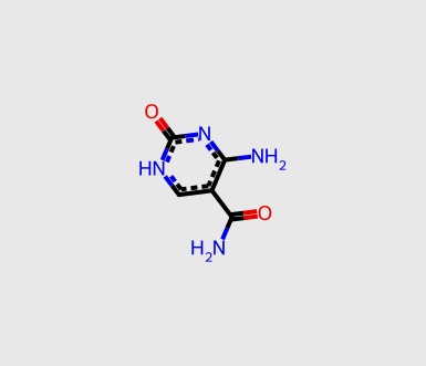 NC(=O)c1c[nH]c(=O)nc1N